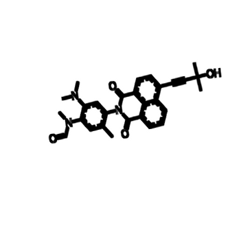 Cc1cc(N(C)C=O)c(N(C)C)cc1N1C(=O)c2cccc3c(C#CC(C)(C)O)ccc(c23)C1=O